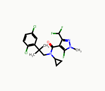 Cn1nc(C(F)F)c(C(=O)N(CC(C)(C)c2cc(Cl)ccc2Cl)C2CC2)c1F